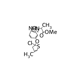 COC(=O)C(C)Nc1cc(OC2(Cl)CC(C)=CS2)ccc1[N+](=O)[O-]